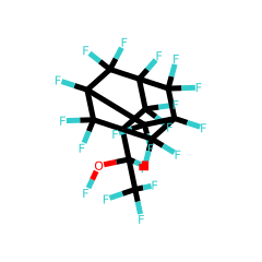 FOC(F)(C(F)(F)F)C12C(F)(F)C3(F)C(F)(F)C(F)(C(F)(F)C(F)(C3(F)F)C1(F)F)C2(F)F